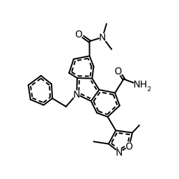 Cc1noc(C)c1-c1cc(C(N)=O)c2c3cc(C(=O)N(C)C)ccc3n(Cc3ccccc3)c2c1